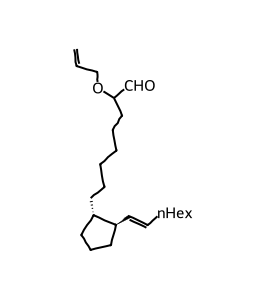 C=CCOC(C=O)CCCCCC[C@H]1CCC[C@@H]1C=CCCCCCC